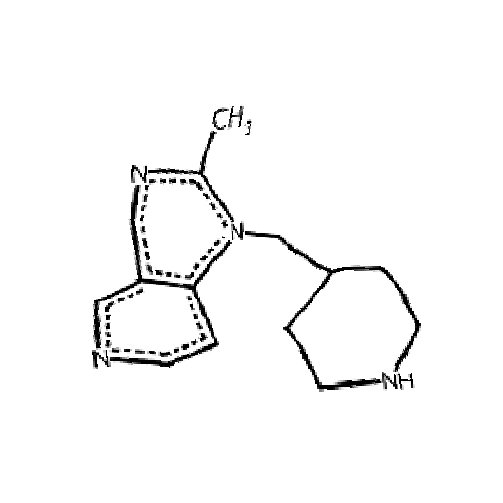 Cc1nc2cnccc2n1CC1CCNCC1